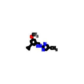 Cc1cnc(NCc2cc(OC(F)(F)F)cc(C3CC3)c2)nc1